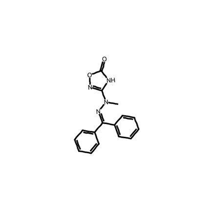 CN(N=C(c1ccccc1)c1ccccc1)c1noc(=O)[nH]1